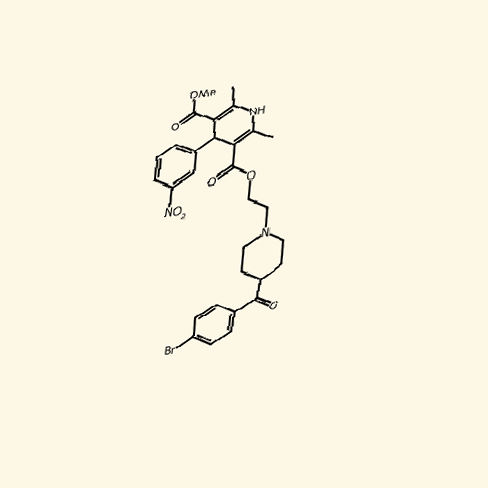 COC(=O)C1=C(C)NC(C)=C(C(=O)OCCN2CCC(C(=O)c3ccc(Br)cc3)CC2)C1c1cccc([N+](=O)[O-])c1